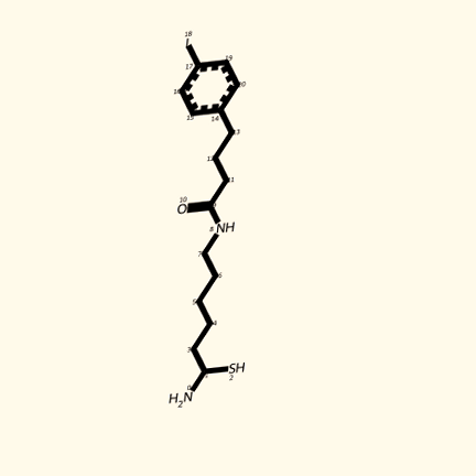 NC(S)CCCCCNC(=O)CCCc1ccc(I)cc1